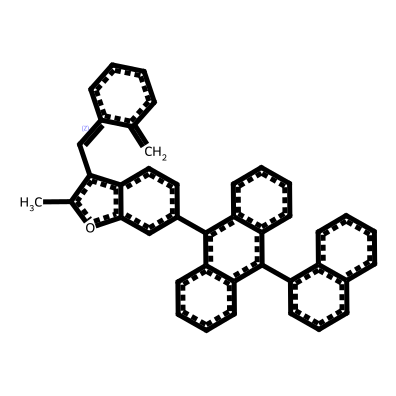 C=c1cccc/c1=C/c1c(C)oc2cc(-c3c4ccccc4c(-c4cccc5ccccc45)c4ccccc34)ccc12